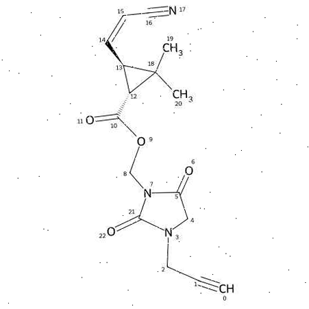 C#CCN1CC(=O)N(COC(=O)[C@@H]2[C@@H](/C=C\C#N)C2(C)C)C1=O